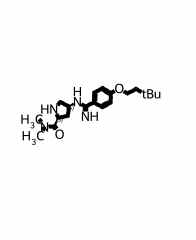 CN(C)C(=O)[C@@H]1C[C@H](NC(=N)c2ccc(OCCC(C)(C)C)cc2)CN1